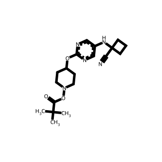 CC(C)(C)C(=O)ON1CCC(Oc2ncc(NC3(C#N)CCC3)cn2)CC1